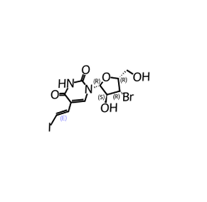 O=c1[nH]c(=O)n([C@@H]2O[C@H](CO)[C@H](Br)[C@H]2O)cc1/C=C/I